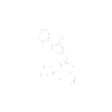 CC(C)(C)OC(=O)N(CCC=O)Cc1ccc(-c2ccccc2)c(Cl)c1